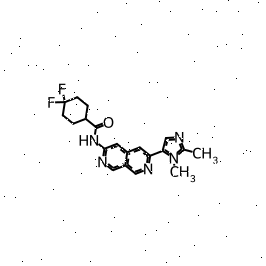 Cc1ncc(-c2cc3cc(NC(=O)C4CCC(F)(F)CC4)ncc3cn2)n1C